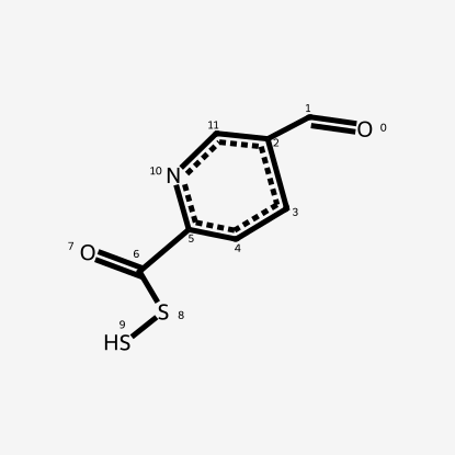 O=Cc1ccc(C(=O)SS)nc1